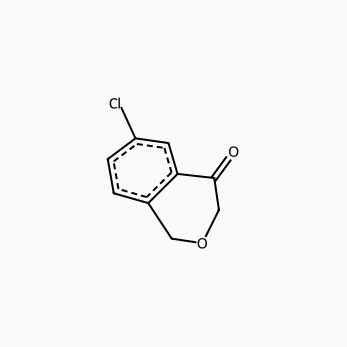 O=C1COCc2ccc(Cl)cc21